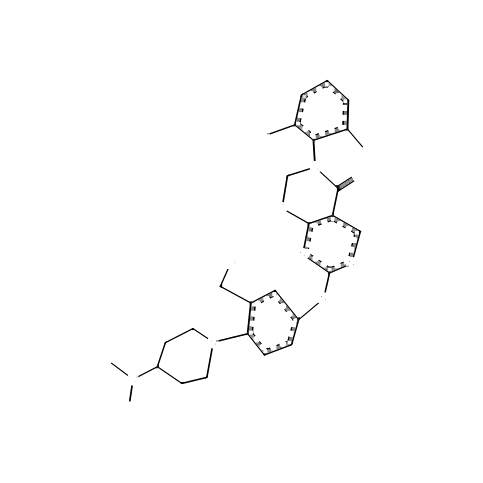 CN(C)C1CCN(c2ccc(Nc3ncc4c(n3)SCN(c3c(Cl)cccc3Cl)C4=O)cc2CO)CC1